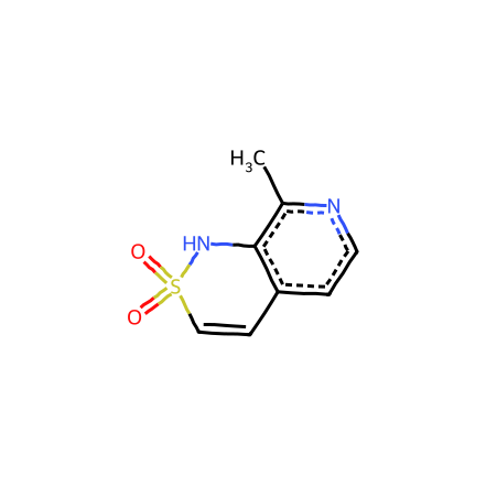 Cc1nccc2c1NS(=O)(=O)C=C2